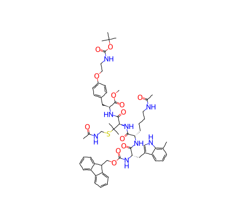 COC(=O)[C@H](Cc1ccc(OCCNC(=O)OC(C)(C)C)cc1)NC(=O)[C@@H](NC(=O)[C@H](CCCCNC(C)=O)NC(=O)[C@H](Cc1c[nH]c2c(C)cccc12)NC(=O)OCC1c2ccccc2-c2ccccc21)C(C)(C)SCNC(C)=O